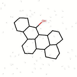 OC1C2CCCCC2C2CCCC3C4CCCC5CCCC(C54)C1C23